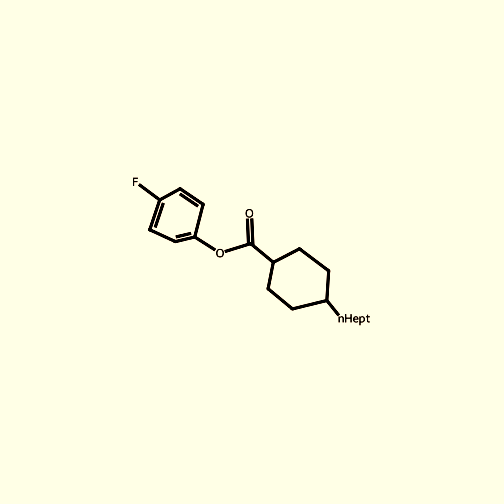 CCCCCCCC1CCC(C(=O)Oc2ccc(F)cc2)CC1